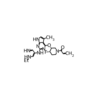 C=CC(=O)N1CC[C@@H](F)[C@@H](Oc2nc(N/C(C=N)=C/NCC)nc3[nH]cc(C)c23)C1